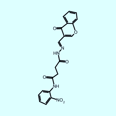 O=C(CCC(=O)Nc1ccccc1[N+](=O)[O-])N/N=C/c1coc2ccccc2c1=O